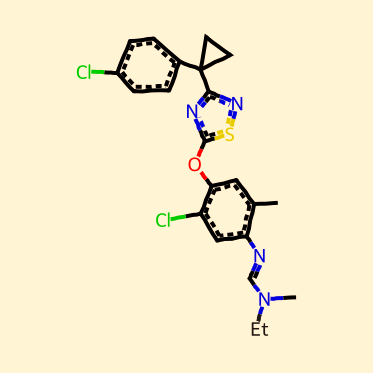 CCN(C)C=Nc1cc(Cl)c(Oc2nc(C3(c4ccc(Cl)cc4)CC3)ns2)cc1C